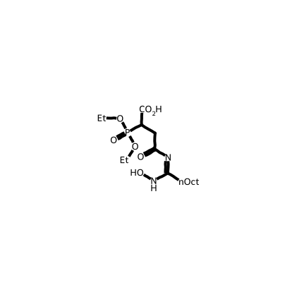 CCCCCCCCC(=NC(=O)CC(C(=O)O)P(=O)(OCC)OCC)NO